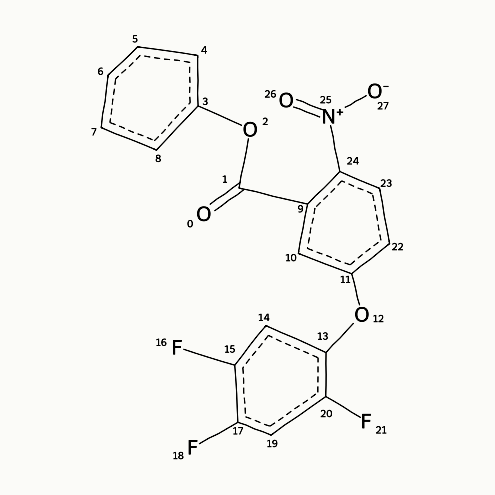 O=C(Oc1ccccc1)c1cc(Oc2cc(F)c(F)cc2F)ccc1[N+](=O)[O-]